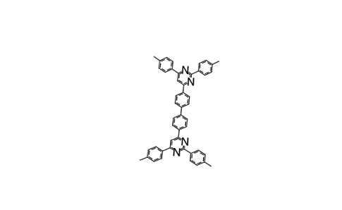 Cc1ccc(-c2cc(-c3ccc(-c4ccc(-c5cc(-c6ccc(C)cc6)nc(-c6ccc(C)cc6)n5)cc4)cc3)nc(-c3ccc(C)cc3)n2)cc1